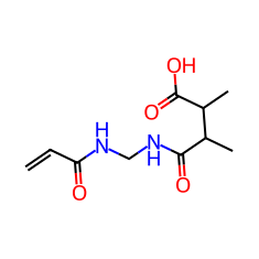 C=CC(=O)NCNC(=O)C(C)C(C)C(=O)O